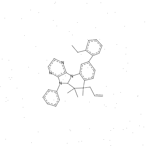 C=CCC1(C)c2ccc(-c3ccccc3CC)cc2N2c3nccnc3N(c3ccccc3)C2C1(C)C